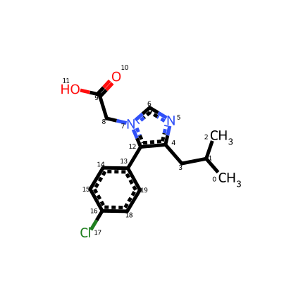 CC(C)Cc1ncn(CC(=O)O)c1-c1ccc(Cl)cc1